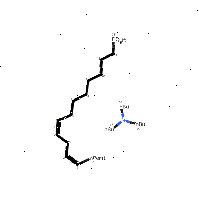 CCCCC/C=C\C/C=C\CCCCCCCC(=O)O.CCCCN(CCCC)CCCC